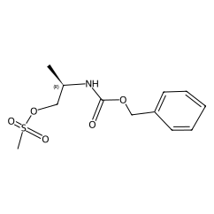 C[C@H](COS(C)(=O)=O)NC(=O)OCc1ccccc1